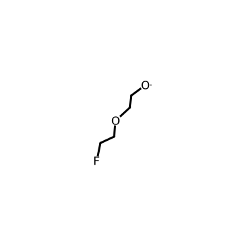 [O]CCOCCF